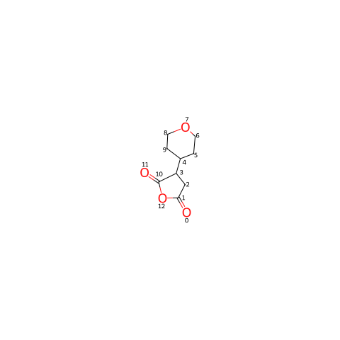 O=C1CC(C2CCOCC2)C(=O)O1